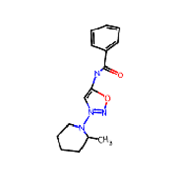 CC1CCCCN1[n+]1cc([N-]C(=O)c2ccccc2)on1